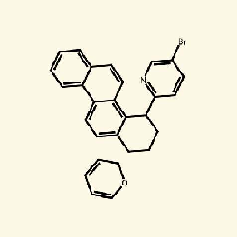 Brc1ccc(C2CCCc3ccc4c(ccc5ccccc54)c32)nc1.C1=CCOC=C1